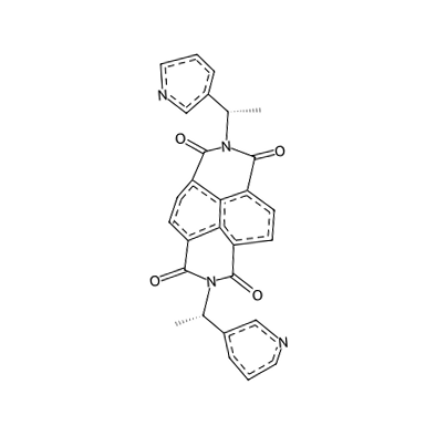 C[C@@H](c1cccnc1)N1C(=O)c2ccc3c4c(ccc(c24)C1=O)C(=O)N([C@@H](C)c1cccnc1)C3=O